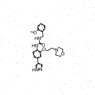 COc1ccccc1CNC(=O)Nc1ccc(-c2cn[nH]c2)cc1OCCN1CCOCC1